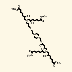 CCCCOC(=O)CCCCC(O)CN(CCCSSCCN1CCN(CCOC(=O)CCCN(CC(O)CCCCC(=O)OC(C)C)CC(O)CCCCC(=O)OC(C)C)CC1)CC(O)CCCCC(=O)OCCCC